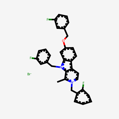 Cc1c2c(cc[n+]1Cc1ccccc1F)c1ccc(OCc3cccc(F)c3)cc1n2Cc1cccc(F)c1.[Br-]